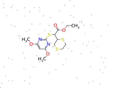 CCOC(=O)C(Sc1nc(OC)cc(OC)n1)C1CSCCS1